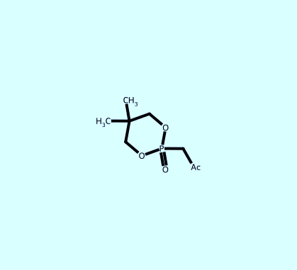 CC(=O)CP1(=O)OCC(C)(C)CO1